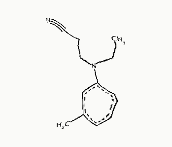 CCN(CCC#N)c1cccc(C)c1